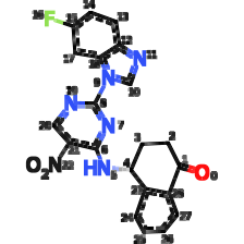 O=C1CC[C@@H](Nc2nc(-n3cnc4ccc(F)cc43)ncc2[N+](=O)[O-])c2ccccc21